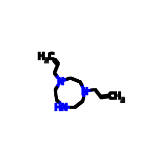 C=CCN1CCNCCN(CC=C)CC1